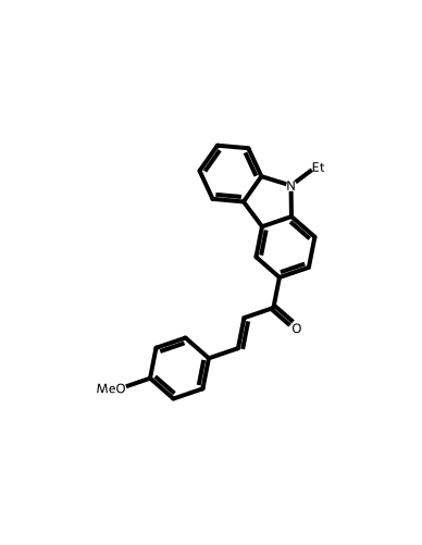 CCn1c2ccccc2c2cc(C(=O)C=Cc3ccc(OC)cc3)ccc21